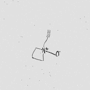 C#C[N+]1([O-])CCC1